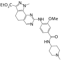 CCOC(=O)c1nn(C)c2c1CCc1cnc(Nc3ccc(C(=O)NC4CCN(C)CC4)cc3OC)nc1-2